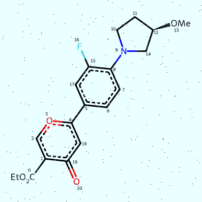 CCOC(=O)c1coc(-c2ccc(N3CC[C@@H](OC)C3)c(F)c2)cc1=O